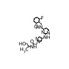 C[C@@H](CO)NC(=O)Cn1cc(Nc2nccc(NCc3c(F)cccc3Cl)n2)cn1